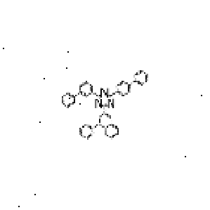 c1ccc(-c2ccc(-c3nc(-c4cccc(-c5ccccc5)c4)nc(-c4cc(-c5ccccc5)c5ccccc5c4)n3)cc2)cc1